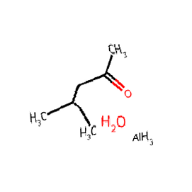 CC(=O)CC(C)C.O.[AlH3]